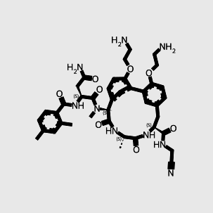 Cc1ccc(C(=O)N[C@@H](CC(N)=O)C(=O)N(C)[C@@H]2C(=O)N[C@@H](C)C(=O)N[C@H](C(=O)NCC#N)Cc3ccc(OCCN)c(c3)-c3cc2ccc3OCCN)c(C)c1